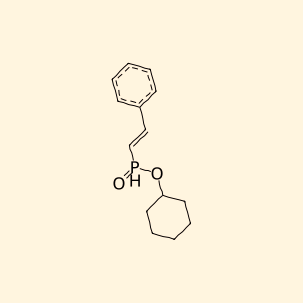 O=[PH](C=Cc1ccccc1)OC1CCCCC1